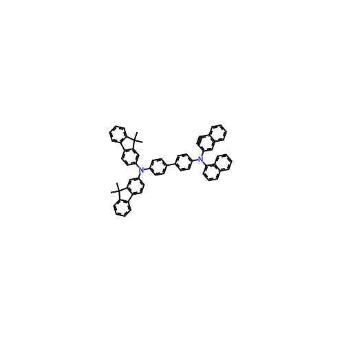 CC1(C)c2ccccc2-c2ccc(N(c3ccc(-c4ccc(N(c5c#cc6ccccc6c5)c5cccc6ccccc56)cc4)cc3)c3ccc4c(c3)C(C)(C)c3ccccc3-4)cc21